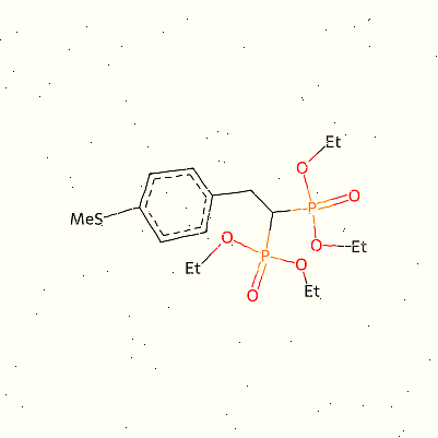 CCOP(=O)(OCC)C(Cc1ccc(SC)cc1)P(=O)(OCC)OCC